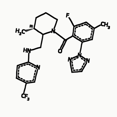 Cc1cc(F)c(C(=O)N2CCC[C@@H](C)C2CNc2ccc(C(F)(F)F)cn2)c(-n2nccn2)c1